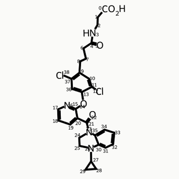 O=C(O)CCNC(=O)CCCc1cc(Cl)c(Oc2ncccc2C(=O)N2CCN(C3CC3)c3ccccc32)cc1Cl